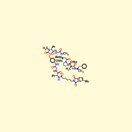 CCC(C)C1=CC2CC1C1C(=O)N(CCCCCC(=O)NC(C(=O)NCC(=O)Nc3ccc(COC(=O)N(C)C(C(=O)NCC(=O)N(C)[C@@H]([C@@H](C)CC)[C@@H](CC(=O)N4CCC[C@H]4[C@H](OC)[C@@H](C)C(=O)N[C@H](C)Cc4ccccc4)OC)C(C)C)cc3)C(C)C)C(=O)C21